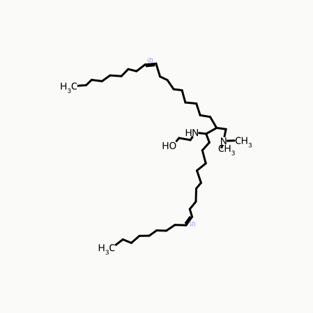 CCCCCCCC/C=C\CCCCCCCCC(CN(C)C)C(CCCCCCCC/C=C\CCCCCCCC)NCCO